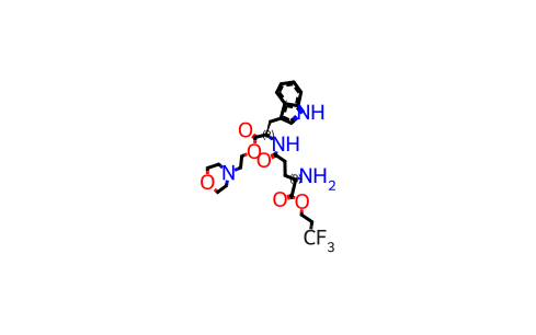 N[C@H](CCC(=O)N[C@H](Cc1c[nH]c2ccccc12)C(=O)OCCN1CCOCC1)C(=O)OCCC(F)(F)F